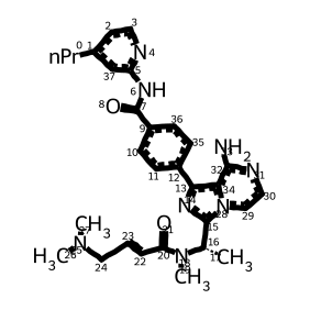 CCCc1ccnc(NC(=O)c2ccc(-c3nc([C@H](C)N(C)C(=O)C=CCN(C)C)n4ccnc(N)c34)cc2)c1